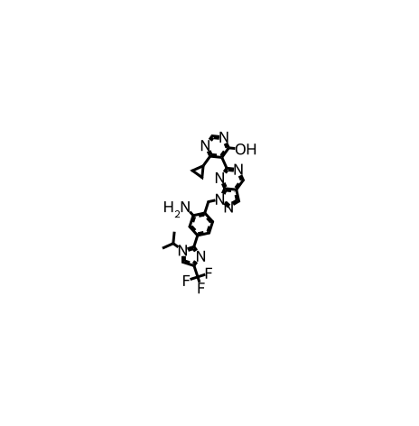 CC(C)n1cc(C(F)(F)F)nc1-c1ccc(Cn2ncc3cnc(-c4c(O)ncnc4C4CC4)nc32)c(N)c1